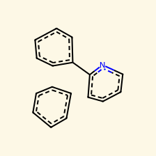 c1ccc(-c2ccccn2)cc1.c1ccccc1